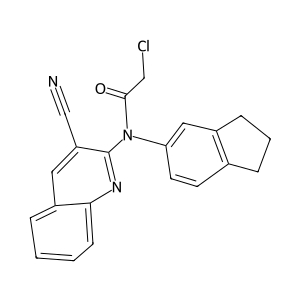 N#Cc1cc2ccccc2nc1N(C(=O)CCl)c1ccc2c(c1)CCC2